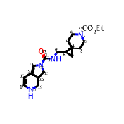 CCOC(=O)N1CCC2(CC1)CC2CNC(=O)N1C=C2C=CNCC2C1